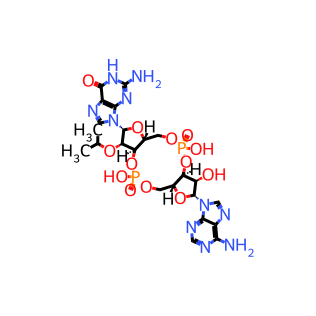 CC(C)O[C@@H]1[C@@H]2OP(=O)(O)OC[C@H]3O[C@@H](n4cnc5c(N)ncnc54)[C@H](O)[C@@H]3OP(=O)(O)OC[C@H]2O[C@H]1n1cnc2c(=O)[nH]c(N)nc21